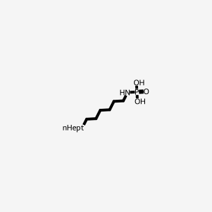 CCCCCCCCCCCCCNP(=O)(O)O